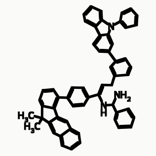 CC1(C)c2cc3ccccc3cc2-c2c(-c3ccc(/C(=C/Cc4cccc(-c5ccc6c7ccccc7n(-c7ccccc7)c6c5)c4)NC(N)c4ccccc4)cc3)cccc21